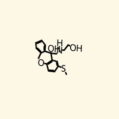 CSc1ccc2c(c1)C(O)(CNCCO)c1ccccc1CO2